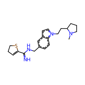 CN1CCCC1CCn1ccc2cc(CNC(=N)C3=CCCS3)ccc21